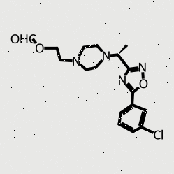 C[C@@H](c1noc(-c2cccc(Cl)c2)n1)N1CCN(CCOC=O)CC1